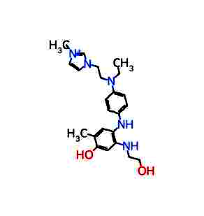 CCN(CCn1cc[n+](C)c1)c1ccc(Nc2cc(C)c(O)cc2NCCO)cc1